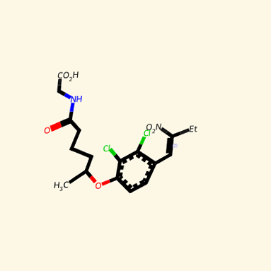 CC/C(=C/c1ccc(OC(C)CCCC(=O)NCC(=O)O)c(Cl)c1Cl)[N+](=O)[O-]